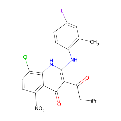 Cc1cc(I)ccc1Nc1[nH]c2c(Cl)ccc([N+](=O)[O-])c2c(=O)c1C(=O)CC(C)C